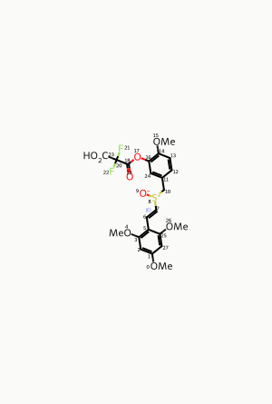 COc1cc(OC)c(/C=C/[S+]([O-])Cc2ccc(OC)c(OC(=O)C(F)(F)C(=O)O)c2)c(OC)c1